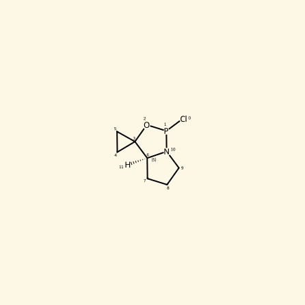 ClP1OC2(CC2)[C@@H]2CCCN21